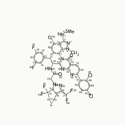 CSNc1nn(C)c2c(-n3c(C(Cc4cc(F)cc(F)c4)NC(=O)Cn4nc(C(F)F)c5c4C(F)(F)C4CC54)nc4nc(-c5ccc(Cl)cc5Cl)ccc4c3=O)ccc(Cl)c12